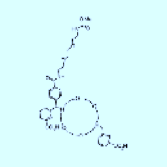 COC(=O)NCCOCCOCCNC(=O)c1ccc(C(c2cccc(C(=O)O)n2)N2CCOCCOCCN(Cc3cccc(C(=O)O)n3)CCOCCOCC2)cc1